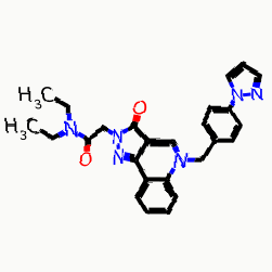 CCN(CC)C(=O)Cn1nc2c3ccccc3n(Cc3ccc(-n4cccn4)cc3)cc-2c1=O